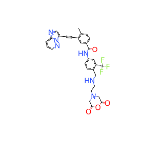 Cc1ccc(C(=O)Nc2ccc(CNCCN3CC(=O)OC(=O)C3)c(C(F)(F)F)c2)cc1C#Cc1cnc2cccnn12